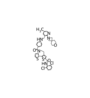 Cc1cnc(N2CC3(CCOCC3)C2)c(CNc2ccc(C(=O)N3CCc4cc(C(=O)Nc5c(Cl)cccc5Cl)sc4-c4sccc43)cc2)c1